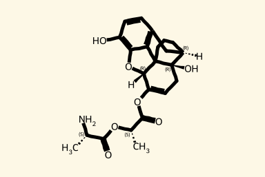 C[C@H](N)C(=O)O[C@@H](C)C(=O)OC1=CC[C@@]2(O)[C@@H]3CCCC24c2c(ccc(O)c2O[C@@H]14)C3